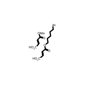 CC(C)CCCCCOC(=O)C=CC(=O)O.COC(=O)C=CC(=O)O